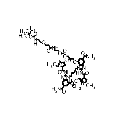 CCn1nc(C)cc1C(=O)Nc1nc2cc(C(N)=O)cc(OC)c2n1C/C=C/Cn1c(NC(=O)c2cc(C)nn2CC)nc2cc(C(N)=O)cc(OCCCOC(=O)OCCNC(=O)CCOCCNC(=O)OC(C)(C)C)c21